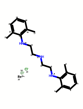 Cc1cccc(C)c1NCCNCCNc1c(C)cccc1C.[Cl-].[Cl-].[Re+2]